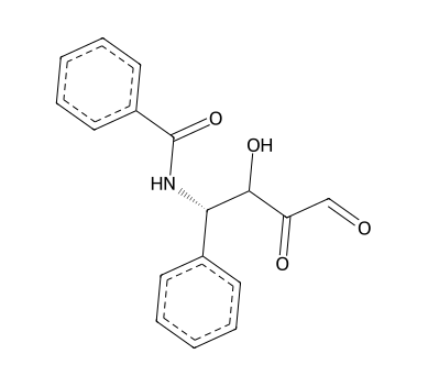 O=CC(=O)C(O)[C@@H](NC(=O)c1ccccc1)c1ccccc1